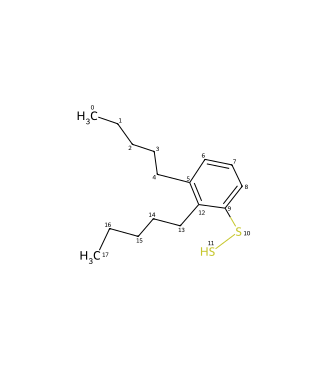 CCCCCc1cccc(SS)c1CCCCC